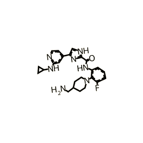 NCC1CCN(c2c(F)cccc2NC(=O)c2nc(-c3ccnc(NC4CC4)c3)c[nH]2)CC1